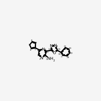 Nc1ncc(C2=CCC=C2)nc1-c1nnc(-c2ccccc2)o1